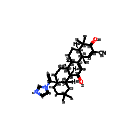 C=C(n1ccnc1)[C@]12CCC(C)(C)C[C@H]1[C@H]1C(=O)C=C3[C@@]4(C)C=C(C#N)C(=O)C(C)(C)[C@@H]4CC[C@@]3(C)[C@]1(C)CC2